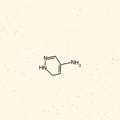 NC1=CCNN=C1